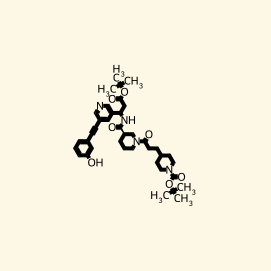 CC(C)(C)OC(=O)CC(NC(=O)[C@@H]1CCCN(C(=O)CCC2CCN(C(=O)OC(C)(C)C)CC2)C1)c1cncc(C#Cc2cccc(O)c2)c1